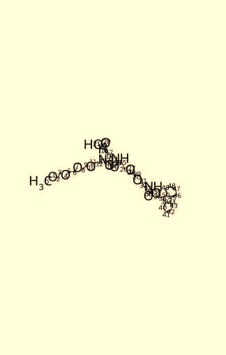 COCCOCCOCCOCCNC(=O)C(CCC(=O)O)NC(=O)CCOCCOCCNC(=O)OCC1c2ccccc2-c2ccccc21